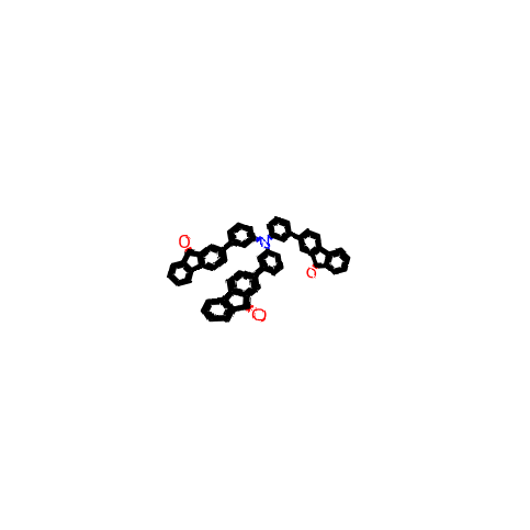 O=C1c2ccccc2-c2ccc(-c3cccc(N(c4cccc(-c5ccc6c(c5)C(=O)c5ccccc5-6)c4)c4cccc(-c5ccc6c(c5)C(=O)c5ccccc5-6)c4)c3)cc21